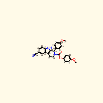 COc1ccc(OC(=O)N2CCc3c([nH]c4ccc(C#N)cc34)C2c2ccc(OC)cc2)cc1